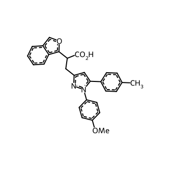 COc1ccc(-n2nc(CC(C(=O)O)c3occ4ccccc34)cc2-c2ccc(C)cc2)cc1